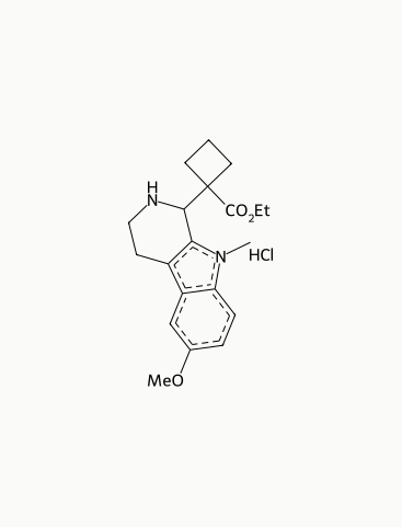 CCOC(=O)C1(C2NCCc3c2n(C)c2ccc(OC)cc32)CCC1.Cl